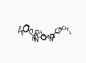 CN1CC=C(c2cnn(-c3ccc(-c4nnc(COc5cccc(C(F)(F)F)c5)n4C)cc3)c2)CC1